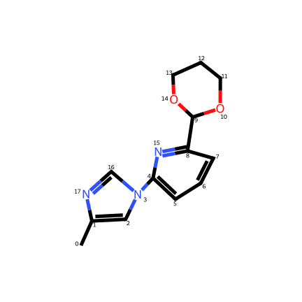 Cc1cn(-c2cccc(C3OCCCO3)n2)cn1